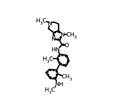 CNc1cccc(-c2cccc(NC(=O)c3nc4c(n3C)CCN(C)C4)c2C)c1C